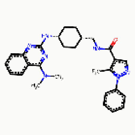 CN(C)c1nc(N[C@H]2CC[C@@H](CNC(=O)c3cnn(-c4ccccc4)c3C(F)(F)F)CC2)nc2ccccc12